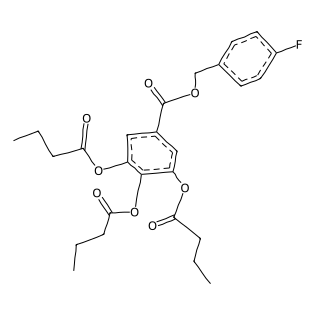 CCCC(=O)Oc1cc(C(=O)OCc2ccc(F)cc2)cc(OC(=O)CCC)c1OC(=O)CCC